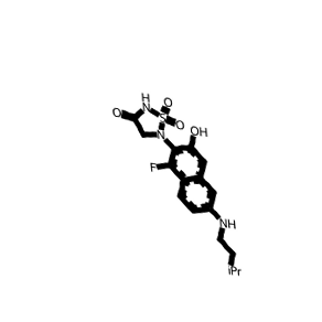 CC(C)CCNc1ccc2c(F)c(N3CC(=O)NS3(=O)=O)c(O)cc2c1